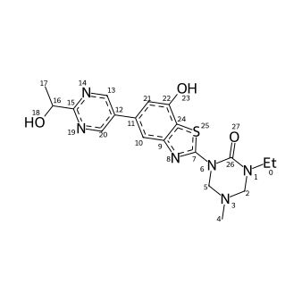 CCN1CN(C)CN(c2nc3cc(-c4cnc(C(C)O)nc4)cc(O)c3s2)C1=O